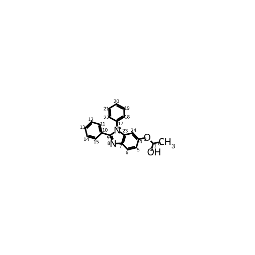 CC(O)Oc1ccc2nc(-c3ccccc3)n(-c3ccccc3)c2c1